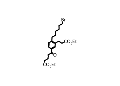 CCOC(=O)CCCC(=O)c1ccc(CCCCCCBr)c(CCC(=O)OCC)c1